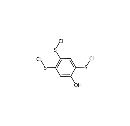 Oc1cc(SCl)c(SCl)cc1SCl